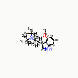 [2H]C([2H])([2H])N(C([2H])([2H])[2H])C([2H])([2H])C([2H])([2H])c1c[nH]c2cccc(OC)c12